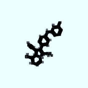 Cc1cccc(Oc2ccc(-c3c(C#N)c4c(Cl)nccn4c3N)cc2)n1